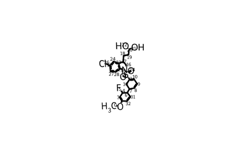 COC1=CC(F)C(C2C=CC=C(S(=O)(=O)N3CC(CCC(O)O)c4cc(Cl)ccc43)C2)C=C1